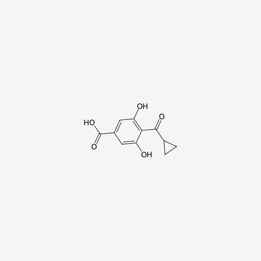 O=C(O)c1cc(O)c(C(=O)C2CC2)c(O)c1